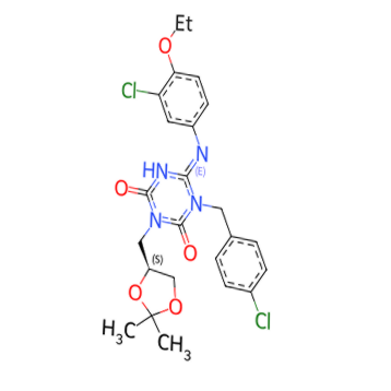 CCOc1ccc(/N=c2\[nH]c(=O)n(C[C@H]3COC(C)(C)O3)c(=O)n2Cc2ccc(Cl)cc2)cc1Cl